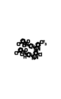 O=C(NC1CCN(c2ncnc3c(Cl)cccc23)CC1)c1cccc(Cl)c1Cl.O=C(NC1CCN(c2ncnc3cc(C(F)(F)F)ccc23)CC1)c1cccc(Cl)c1Cl